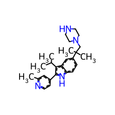 Cc1cc(-c2[nH]c3ccc(C(C)(C)CN4CCNCC4)cc3c2C(C)C)ccn1